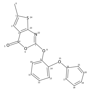 Cc1cc2c(=O)oc(Oc3ccccc3Oc3ccccc3)nc2s1